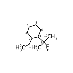 CCC1CCCCC1C(C)(C)F